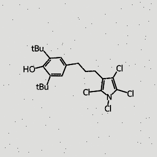 CC(C)(C)c1cc(CCCc2c(Cl)c(Cl)n(Cl)c2Cl)cc(C(C)(C)C)c1O